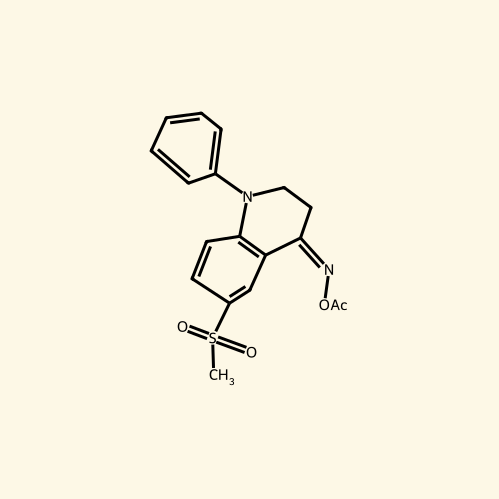 CC(=O)O/N=C1/CCN(c2ccccc2)c2ccc(S(C)(=O)=O)cc21